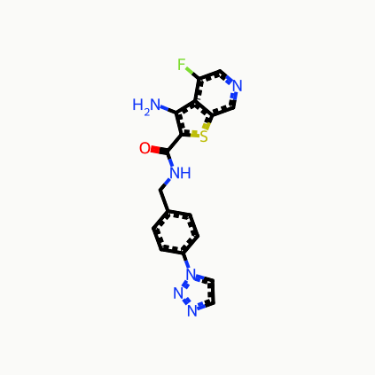 Nc1c(C(=O)NCc2ccc(-n3ccnn3)cc2)sc2cncc(F)c12